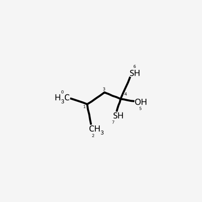 CC(C)CC(O)(S)S